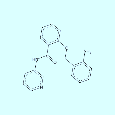 Nc1ccccc1COc1ccccc1C(=O)Nc1cccnc1